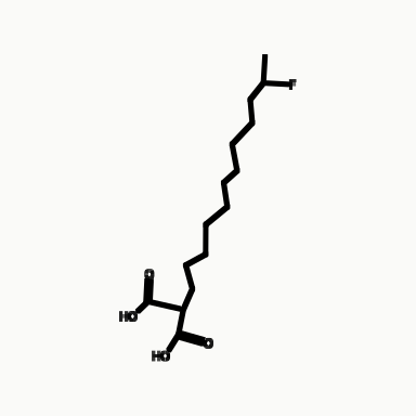 CC(F)CCCCCCCCCCC(C(=O)O)C(=O)O